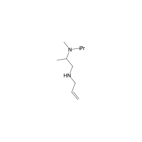 C=CCNCC(C)N(C)C(C)C